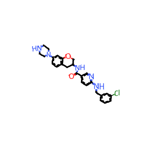 O=C(NC1COc2cc(N3CCNCC3)ccc2C1)c1ccc(NCc2cccc(Cl)c2)nc1